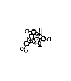 COC(=O)c1ccc2nn3c(c2c1)C[C@H]1[C@@H]3[C@H](c2cccc(Cl)c2F)[C@]2(C(=O)Nc3cc(Cl)ccc32)N1CC1CC1